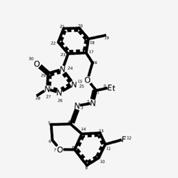 CC/C(=N/N=C1/CCOc2ccc(F)cc21)OCc1c(C)cccc1-n1nnn(C)c1=O